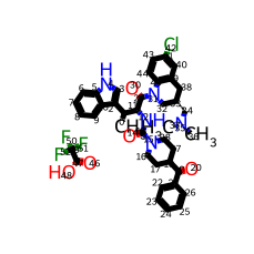 CC(c1c[nH]c2ccccc12)C(NC(=O)N1CCC(C(=O)c2ccccc2)CC1)C(=O)N1C[C@@H](CN(C)C)Cc2cc(Cl)ccc21.O=C(O)C(F)(F)F